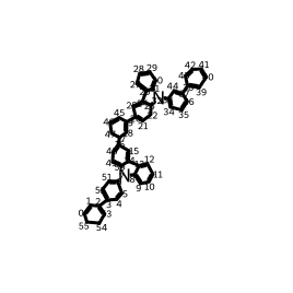 C1=CC(c2ccc(-n3c4ccccc4c4cc(C5C=C(C6=CCC7C(=C6)c6ccccc6N7c6cccc(-c7ccccc7)c6)C=CC5)ccc43)cc2)=CCC1